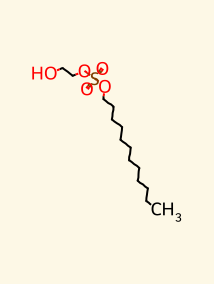 CCCCCCCCCCCCOS(=O)(=O)OCCO